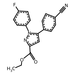 CCOC(=O)c1cc(-c2ccc(C#N)cc2)n(-c2ccc(F)cc2)n1